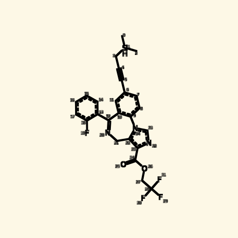 C[SiH](C)CC#Cc1ccc2c(c1)C(c1ccccc1F)=NCc1c(C(=O)OCC(F)(F)F)ncn1-2